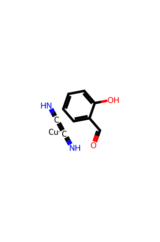 N=C=C=N.O=Cc1ccccc1O.[Cu]